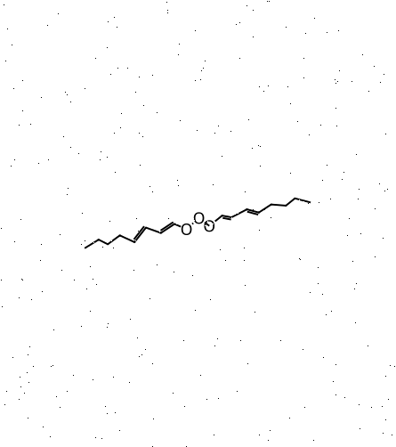 CCCCC=CC=COOOC=CC=CCCCC